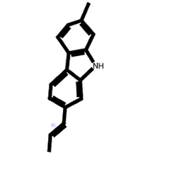 C/C=C/c1ccc2c(c1)[nH]c1cc(C)ccc12